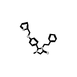 CN1CC(=O)N(CCc2ccccc2)C1c1ccc(OCc2ccccn2)cc1